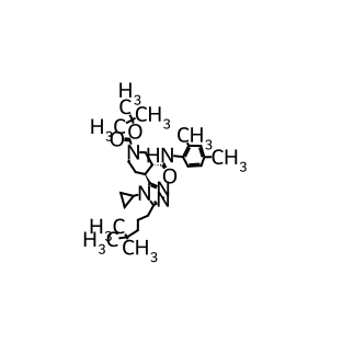 Cc1ccc(NC(=O)[C@H]2CN(C(=O)OC(C)(C)C)CC[C@@H]2c2nnc(CCCC(C)(C)C)n2C2CC2)c(C)c1